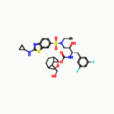 CC(C)CN(C[C@@H](O)[C@H](Cc1cc(F)cc(F)c1)NC(=O)OC1C2CCC(COC2)C1CO)S(=O)(=O)c1ccc2nc(NC3CC3)sc2c1